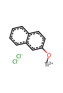 [Cl-].[Cl-].[Ti+2][O]c1ccc2ccccc2c1